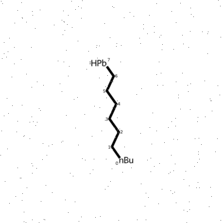 CCCCCCCCC[CH2][PbH]